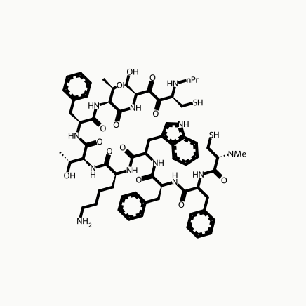 CCCN[C@@H](CS)C(=O)C(=O)[C@H](CO)NC(=O)[C@@H](NC(=O)[C@H](Cc1ccccc1)NC(=O)[C@@H](NC(=O)[C@H](CCCCN)NC(=O)C(Cc1c[nH]c2ccccc12)NC(=O)[C@H](Cc1ccccc1)NC(=O)C(Cc1ccccc1)NC(=O)[C@H](CS)NC)[C@@H](C)O)[C@@H](C)O